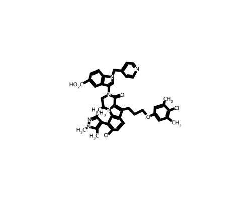 Cc1cc(OCCCc2c3n(c4c(-c5c(C)nn(C)c5C)c(Cl)ccc24)C(C)CN(c2cn(Cc4ccncc4)c4ccc(C(=O)O)cc24)C3=O)cc(C)c1Cl